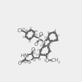 COc1cc2c3ccccc3n(S(=O)(=O)c3ccc(Cl)cc3)c2cc1CC1SC(=O)NC1=O